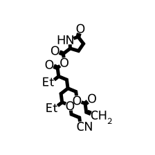 C=CC(=O)OCC(CC(CC)OCCC#N)CC(CC)C(=O)OC(=O)C1CCC(=O)N1